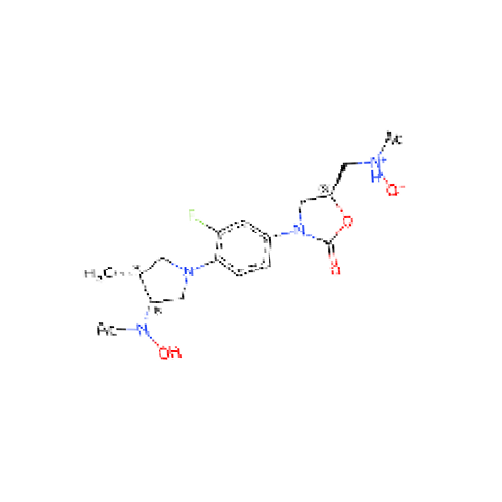 CC(=O)N(O)[C@H]1CN(c2ccc(N3C[C@@H](C[NH+]([O-])C(C)=O)OC3=O)cc2F)C[C@H]1C